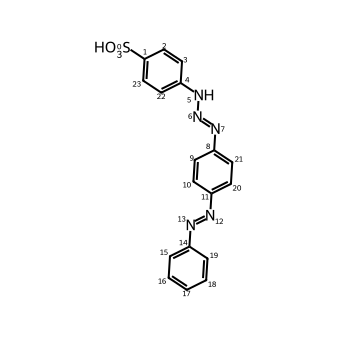 O=S(=O)(O)c1ccc(NN=Nc2ccc(N=Nc3ccccc3)cc2)cc1